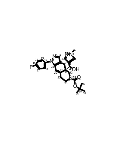 Cn1cc(C(O)[C@@]23Cc4cnn(-c5ccc(F)cc5)c4C=C2CCN(C(=O)OC(C)(C)C)C3)cn1